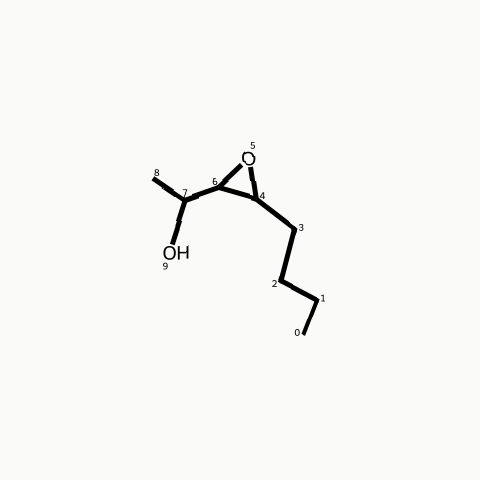 CCCCC1OC1C(C)O